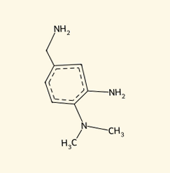 CN(C)c1ccc(CN)cc1N